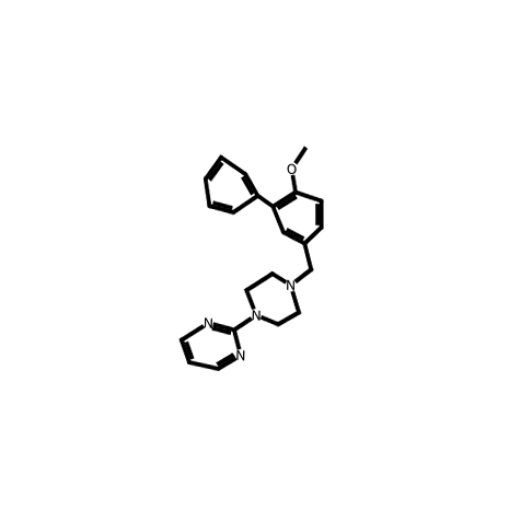 COc1ccc(CN2CCN(c3ncccn3)CC2)cc1-c1ccccc1